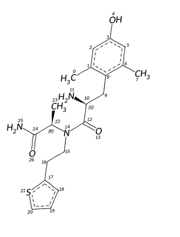 Cc1cc(O)cc(C)c1C[C@H](N)C(=O)N(CCc1cccs1)[C@H](C)C(N)=O